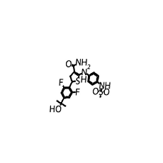 CC(C)(O)c1cc(F)c(C2CC(C(N)=O)=C(Nc3ccc(NS(C)(=O)=O)cc3)S2)c(F)c1